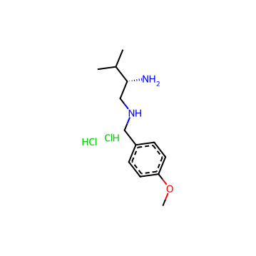 COc1ccc(CNC[C@@H](N)C(C)C)cc1.Cl.Cl